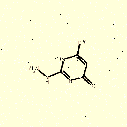 CCCc1cc(=O)nc(NN)[nH]1